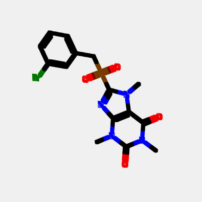 Cn1c(=O)c2c(nc(S(=O)(=O)Cc3cccc(Br)c3)n2C)n(C)c1=O